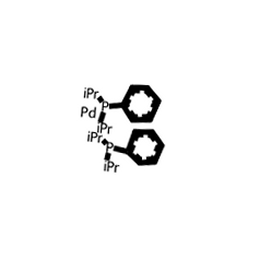 CC(C)P(c1ccccc1)C(C)C.CC(C)P(c1ccccc1)C(C)C.[Pd]